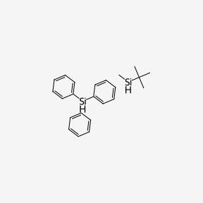 C[SiH](C)C(C)(C)C.c1ccc([SiH](c2ccccc2)c2ccccc2)cc1